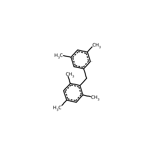 Cc1[c]c(Cc2c(C)cc(C)cc2C)cc(C)c1